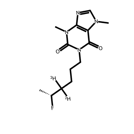 [2H]C([2H])(CCCn1c(=O)c2c(ncn2C)n(C)c1=O)[C@@H](C)F